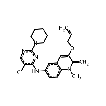 C=CCOC1=Cc2cc(Nc3nc(N4CCCCC4)ncc3Cl)ccc2N(C)C1=C